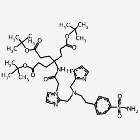 CC(C)(C)OC(=O)CCC(CCC(=O)OC(C)(C)C)(CCC(=O)OC(C)(C)C)NC(=O)Cn1ccnc1CN(CCc1ccc(S(N)(=O)=O)cc1)Cc1ncc[nH]1